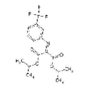 CC(C)OC(=O)C(=Nc1cccc(C(F)(F)F)c1)C(=O)OC(C)C